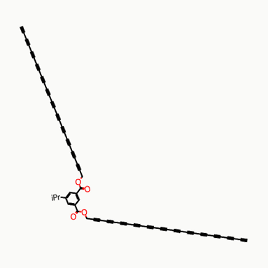 C#CC#CC#CC#CC#CC#CC#CC#CC#CC#CC#CC#CCOC(=O)c1cc(C(=O)OCC#CC#CC#CC#CC#CC#CC#CC#CC#CC#CC#CC#C)cc(C(C)C)c1